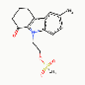 Cc1ccc2c(c1)c1c(n2CCOS(C)(=O)=O)C(=O)CCC1